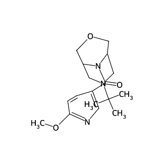 COc1ccc(C(=O)N2C3COCC2CN(C(C)(C)C)C3)cn1